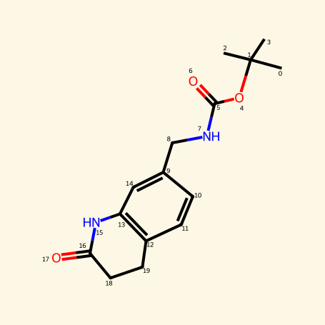 CC(C)(C)OC(=O)NCc1ccc2c(c1)NC(=O)CC2